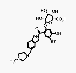 CC(C)c1cc(C(=O)N2Cc3ccc(CN4CCN(C)CC4)cc3C2)c(OC2O[C@H](C(=O)O)[C@@H](O)[C@H](O)[C@H]2O)cc1O